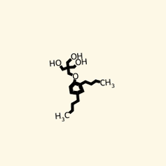 CCCCc1ccc(OCC(CO)(CO)CO)c(CCCC)c1